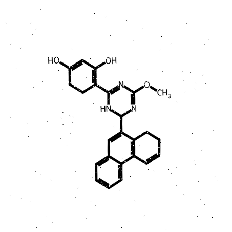 COC1=NC(c2cc3ccccc3c3c2CCC=C3)NC(C2=C(O)C=C(O)CC2)=N1